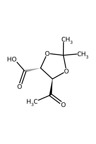 CC(=O)[C@@H]1OC(C)(C)O[C@H]1C(=O)O